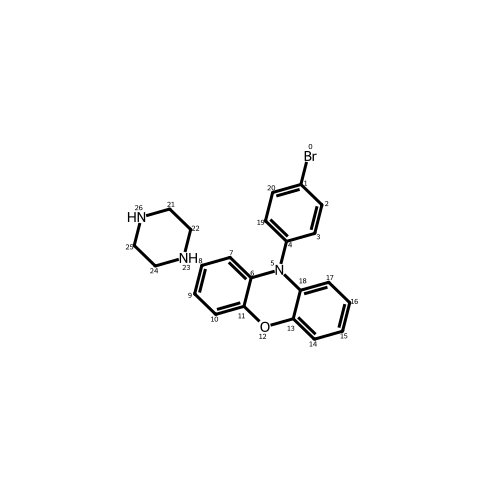 Brc1ccc(N2c3ccccc3Oc3ccccc32)cc1.C1CNCCN1